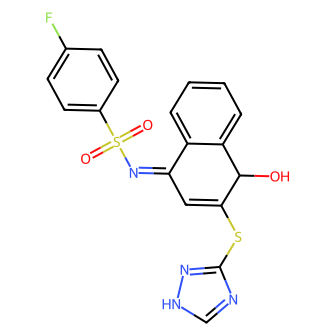 O=S(=O)(/N=C1/C=C(Sc2nc[nH]n2)C(O)c2ccccc21)c1ccc(F)cc1